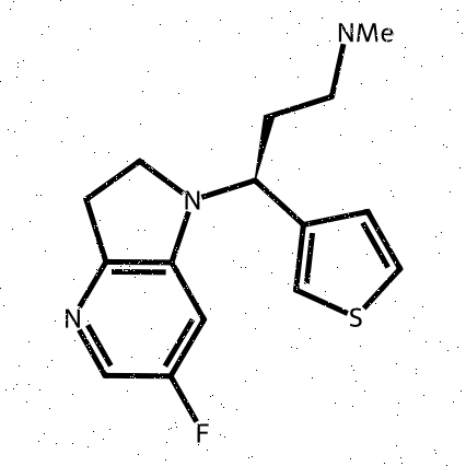 CNCC[C@@H](c1ccsc1)N1CCc2ncc(F)cc21